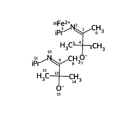 CC(=NC(C)C)C(C)(C)[O-].CC(=NC(C)C)C(C)(C)[O-].[Fe+2]